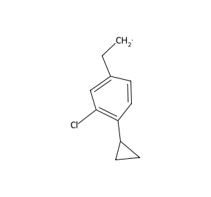 [CH2]Cc1ccc(C2CC2)c(Cl)c1